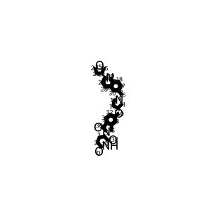 O=C1CC[C@H](N2Cc3cc(O[C@H]4CCN(Cc5ccc6nc([C@@H]7CCOC7)ccc6c5)C4)ccc3C2=O)C(=O)N1